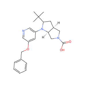 CC(C)(C)C1C[C@H]2CN(C(=O)O)C[C@H]2N1c1cncc(OCc2ccccc2)c1